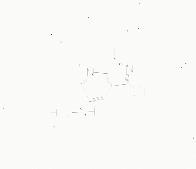 CNc1cnc2[nH]nc(Cl)c2c1